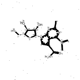 Cc1nc(N(C)C)c2c(C(N)=O)cn([C@@H]3O[C@H](CO)[C@@H](O)[C@H]3O)c2n1